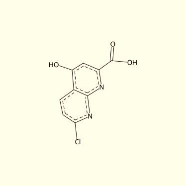 O=C(O)c1cc(O)c2ccc(Cl)nc2n1